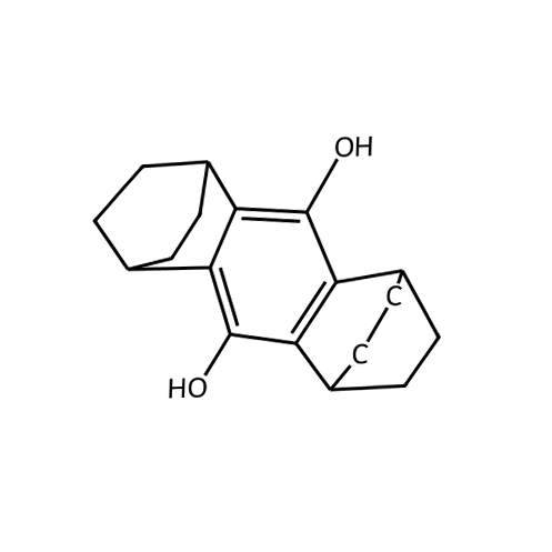 Oc1c2c(c(O)c3c1C1CCC3CC1)C1CCC2CC1